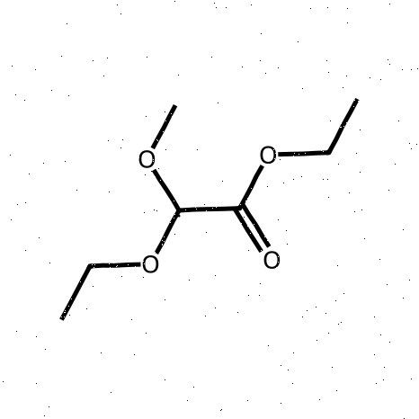 CCO[C](OC)C(=O)OCC